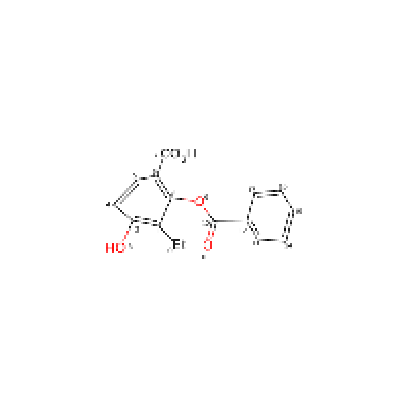 CCc1c(O)ccc(C(=O)O)c1OC(=O)c1ccccc1